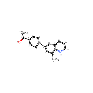 COC(=O)c1ccc(-c2cc(OC)c3ncccc3c2)cc1